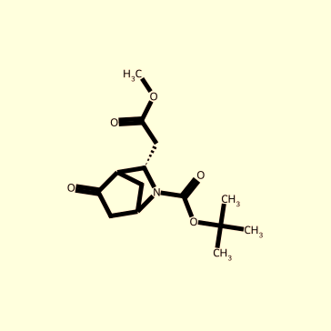 COC(=O)C[C@H]1C2CC(CC2=O)N1C(=O)OC(C)(C)C